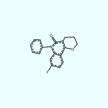 O=c1c2c(c3ccc(F)cc3n1-c1ccccc1)OCCC2